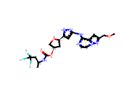 COCc1cc2c(Nc3cc([C@H]4C[C@@H](OC(=O)NC(C)CC(F)(F)F)CO4)[nH]n3)nccn2n1